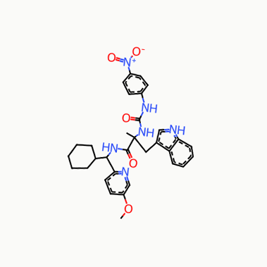 COc1ccc(C(NC(=O)C(C)(Cc2c[nH]c3ccccc23)NC(=O)Nc2ccc([N+](=O)[O-])cc2)C2CCCCC2)nc1